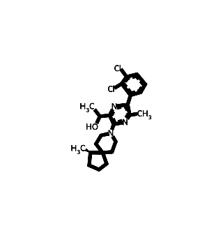 Cc1nc(N2CCC3(CCC[C@H]3C)CC2)c(C(C)O)nc1-c1cccc(Cl)c1Cl